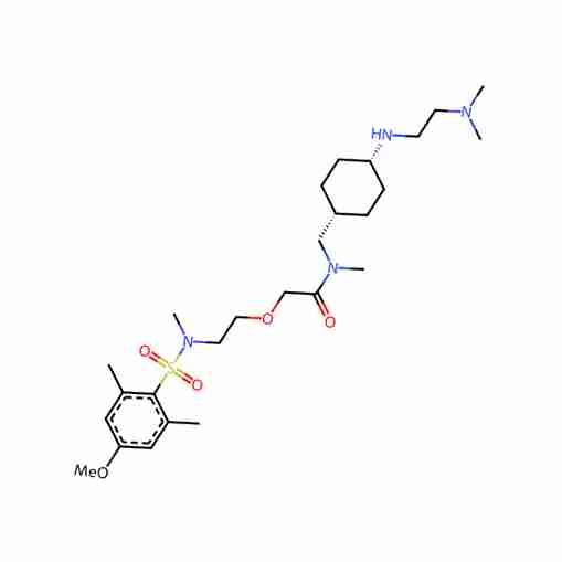 COc1cc(C)c(S(=O)(=O)N(C)CCOCC(=O)N(C)C[C@H]2CC[C@@H](NCCN(C)C)CC2)c(C)c1